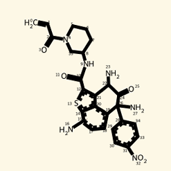 C=CC(=O)N1CCCC(NC(=O)c2sc3c(N)ccc4c3c2C(N)C(=O)C4(N)c2ccc([N+](=O)[O-])cc2)C1